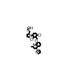 Cc1cc(-n2cccn2)c2cccc(OCc3c(Cl)ccc(-n4cccc4C=NO)c3Cl)c2n1